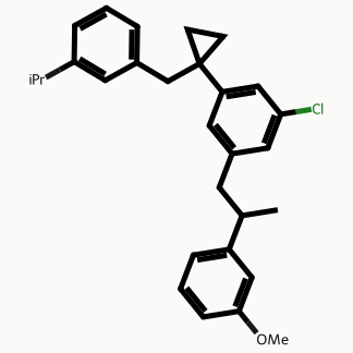 COc1cccc(C(C)Cc2cc(Cl)cc(C3(Cc4cccc(C(C)C)c4)CC3)c2)c1